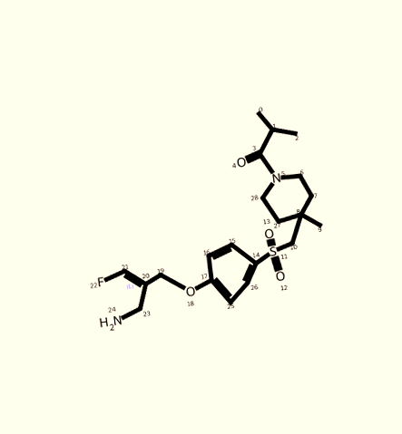 CC(C)C(=O)N1CCC(C)(CS(=O)(=O)c2ccc(OC/C(=C/F)CN)cc2)CC1